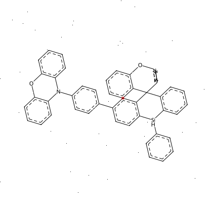 c1ccc([SiH]2c3ccccc3C3(c4ccccc4Oc4ccccc43)c3cc(-c4ccc(N5c6ccccc6Oc6ccccc65)cc4)ccc32)cc1